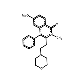 COc1ccc2c(=O)n(C)c(CCN3CCOCC3)c(-c3ccccc3)c2c1